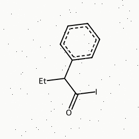 CCC(C(=O)I)c1ccccc1